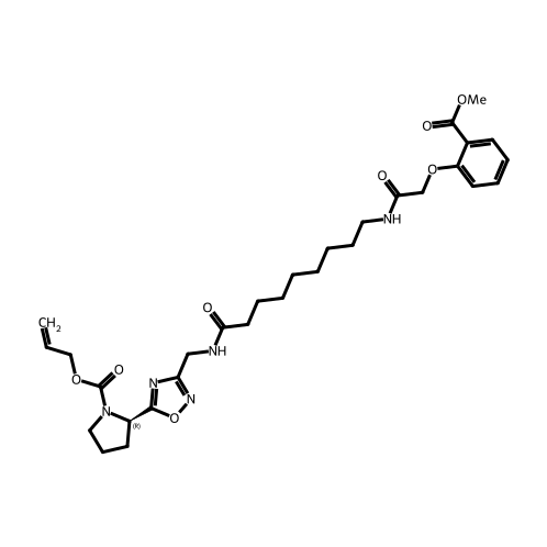 C=CCOC(=O)N1CCC[C@@H]1c1nc(CNC(=O)CCCCCCCCNC(=O)COc2ccccc2C(=O)OC)no1